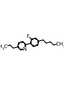 CCCCCc1ccc(-c2ccc(CCC)cn2)c(F)c1